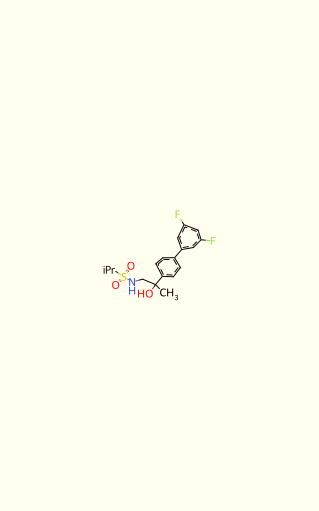 CC(C)S(=O)(=O)NCC(C)(O)c1ccc(-c2cc(F)cc(F)c2)cc1